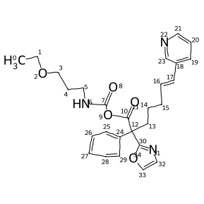 CCOCCCNC(=O)OC(=O)C(CCCC=Cc1cccnc1)(c1ccccc1)c1ncco1